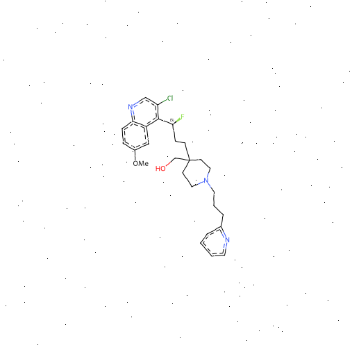 COc1ccc2ncc(Cl)c([C@@H](F)CCC3(CO)CCN(CCCc4ccccn4)CC3)c2c1